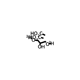 CC(=O)O.CC(=O)O.[2H]OCC(O)CO[2H]